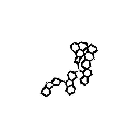 c1ccc2c(c1)Sc1ccccc1C21c2cc(N(c3ccc4c(c3)c3ccccc3n4-c3ccc4sc5ccccc5c4c3)c3cccc4ccccc34)ccc2-c2cccc3cccc1c23